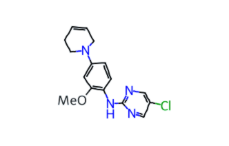 COc1cc(N2CC=CCC2)ccc1Nc1ncc(Cl)cn1